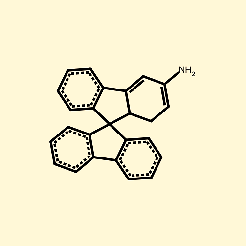 NC1=CCC2C(=C1)c1ccccc1C21c2ccccc2-c2ccccc21